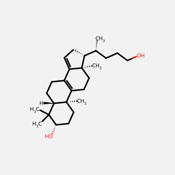 C[C@H](CCCO)[C@H]1CC=C2C3=C(CC[C@@]21C)[C@@]1(C)CC[C@H](O)C(C)(C)[C@@H]1CC3